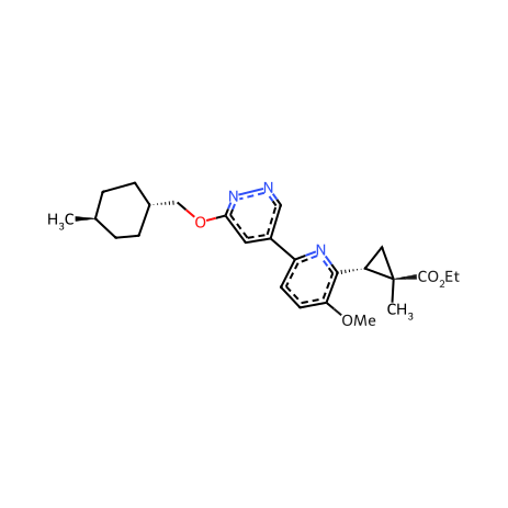 CCOC(=O)[C@]1(C)C[C@H]1c1nc(-c2cnnc(OC[C@H]3CC[C@H](C)CC3)c2)ccc1OC